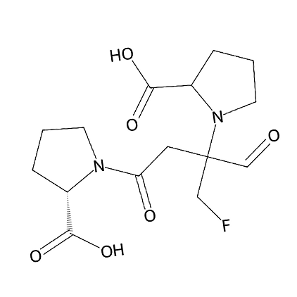 O=CC(CF)(CC(=O)N1CCC[C@H]1C(=O)O)N1CCCC1C(=O)O